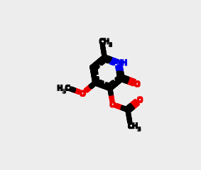 COc1cc(C)[nH]c(=O)c1OC(C)=O